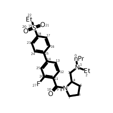 CCCN(CC)CC1CCCN1C(=O)c1ccc(-c2ccc(S(=O)(=O)CC)cc2)cc1F